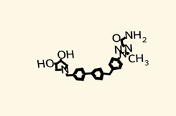 Cc1nc(C(N)=O)nn1-c1ccc(Cc2ccc(-c3ccc(CN4CC(O)C(O)C4)cc3)cc2)cc1